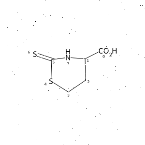 O=C(O)C1CCSC(=S)N1